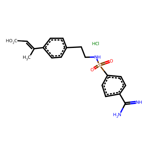 C/C(=C\C(=O)O)c1ccc(CCNS(=O)(=O)c2ccc(C(=N)N)cc2)cc1.Cl